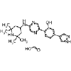 CC1(C)CC(Nc2cnc(-c3ccc(-c4cn[nH]c4)cc3O)cn2)CC(C)(C)N1.O=CO